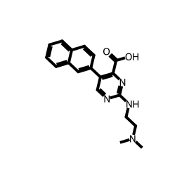 CN(C)CCNc1ncc(-c2ccc3ccccc3c2)c(C(=O)O)n1